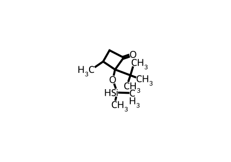 CC1CC(=O)C1(O[SiH](C)C)C(C)(C)C